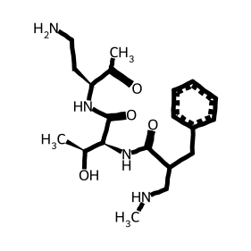 CNCC(Cc1ccccc1)C(=O)N[C@H](C(=O)N[C@@H](CCN)C(C)=O)[C@H](C)O